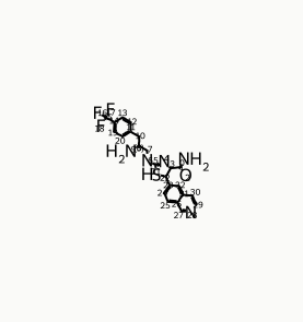 NC(=O)C1N=C(NC[C@@H](N)Cc2ccc(C(F)(F)F)cc2)SC1c1ccc2cnccc2c1